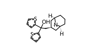 CN1[C@@H]2CCC[C@H]1C[C@@H](CC(O)(c1cccs1)c1cccs1)C2